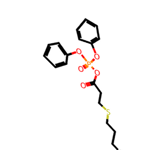 CCCCSCCC(=O)OP(=O)(Oc1ccccc1)Oc1ccccc1